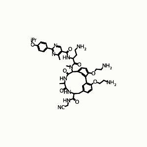 Cc1nc(-c2ccc(OC(C)C)cc2)ncc1C(=O)NC(CCN)C(=O)N(C)C1C(=O)NC(C)C(=O)NC(C(=O)NCC#N)Cc2ccc(OCCN)c(c2)-c2cc1ccc2OCCN